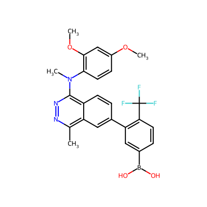 COc1ccc(N(C)c2nnc(C)c3cc(-c4cc(B(O)O)ccc4C(F)(F)F)ccc23)c(OC)c1